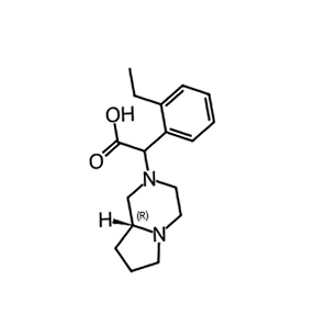 CCc1ccccc1C(C(=O)O)N1CCN2CCC[C@@H]2C1